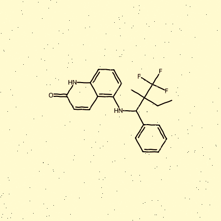 CCC(C)(C(Nc1cccc2[nH]c(=O)ccc12)c1ccccc1)C(F)(F)F